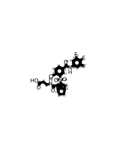 O=C(O)CCNC(=O)CC1(O)C2CCC1CC(S(=O)(=O)c1cc(C(=O)Nc3cc(F)c(F)c(F)c3)ccc1Cl)C2